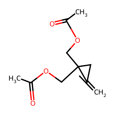 C=C1CC1(COC(C)=O)COC(C)=O